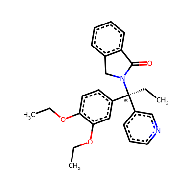 CCOc1ccc([C@](CC)(c2cccnc2)N2Cc3ccccc3C2=O)cc1OCC